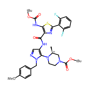 COc1ccc(Cn2ncc(NC(=O)c3nc(-c4c(F)cccc4F)sc3NC(=O)OC(C)(C)C)c2N2CCN(C(=O)OC(C)(C)C)C[C@@H]2C)cc1